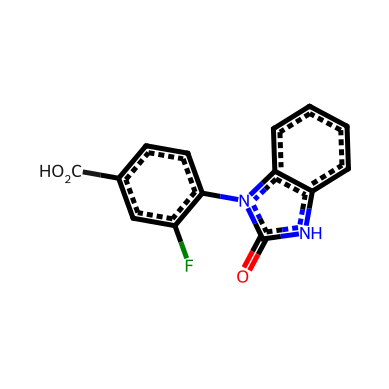 O=C(O)c1ccc(-n2c(=O)[nH]c3ccccc32)c(F)c1